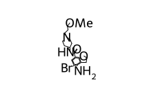 COCCCN1CCC(NC(=O)c2cc(Br)c(N)c3c2OCC3)CC1